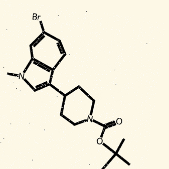 Cn1cc(C2CCN(C(=O)OC(C)(C)C)CC2)c2ccc(Br)cc21